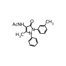 CC(=O)Nc1c(C)n(-c2ccccc2)n(-c2cccc(C)c2)c1=O